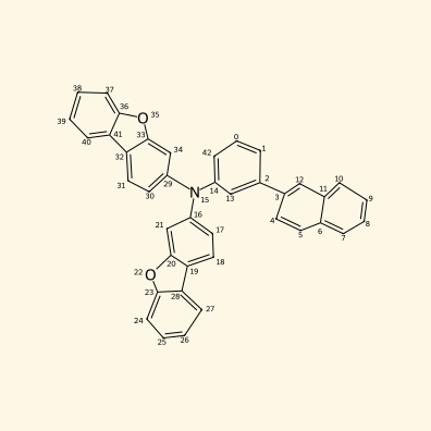 c1cc(-c2ccc3ccccc3c2)cc(N(c2ccc3c(c2)oc2ccccc23)c2ccc3c(c2)oc2ccccc23)c1